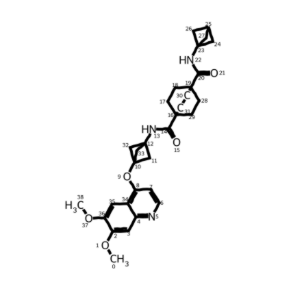 COc1cc2nccc(OC34CC(NC(=O)C56CCC(C(=O)NC78CC(C7)C8)(CC5)CC6)(C3)C4)c2cc1OC